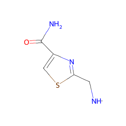 [NH]Cc1nc(C(N)=O)cs1